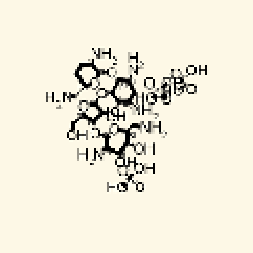 NC[C@@H]1CC[C@@H](N)[C@@H](O[C@H]2[C@H](O[C@@H]3O[C@H](CO)[C@@H](O[C@H]4O[C@@H](CN)[C@@H](O)[C@H](O)[C@H]4N)[C@H]3O)[C@@H](O)[C@H](N)C[C@@H]2N)O1.O=S(=O)(O)O.O=S(=O)(O)O.O=S(=O)(O)O